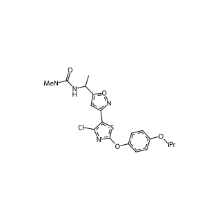 CNC(=O)NC(C)c1cc(-c2sc(Oc3ccc(OC(C)C)cc3)nc2Cl)no1